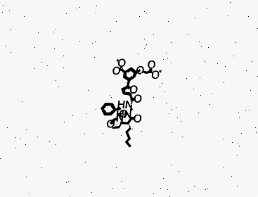 CCCCC[C@@H](C(=O)NCNC(=O)c1ccc(-c2cc(OCC(=O)OC)cc(C(=O)OC)c2)o1)[C@@H](CC)N(C=O)OCc1ccccc1